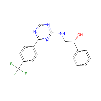 O[C@@H](CNc1ncnc(-c2ccc(C(F)(F)F)cc2)n1)c1ccccc1